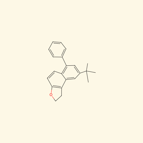 CC(C)(C)c1cc(-c2ccccc2)c2ccc3c(c2c1)CCO3